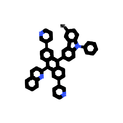 N#Cc1ccc2c(c1)c1cc(-c3c4cc(-c5cccnc5)ccc4c(-c4ccc5ccccc5n4)c4cc(-c5cccnc5)ccc34)ccc1n2-c1ccccc1